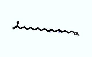 CCCC/C=C/C/C=C/CCCCCCCCC(=O)Cl